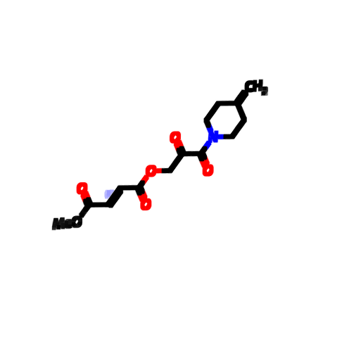 C=C1CCN(C(=O)C(=O)COC(=O)/C=C/C(=O)OC)CC1